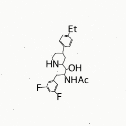 CCc1ccc(C2CCNC(C(O)C(Cc3cc(F)cc(F)c3)NC(C)=O)C2)cc1